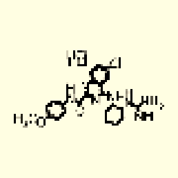 COc1ccc(NC(=O)c2nc(N[C@H]3CCCC[C@H]3NC(=N)N)c3cc(Cl)ccc3n2)cc1.Cl.Cl